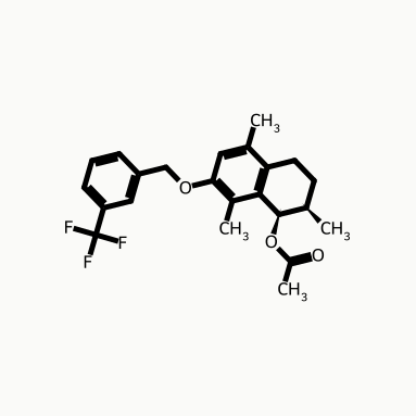 CC(=O)O[C@H]1c2c(C)c(OCc3cccc(C(F)(F)F)c3)cc(C)c2CC[C@H]1C